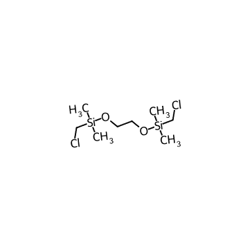 C[Si](C)(CCl)OCCO[Si](C)(C)CCl